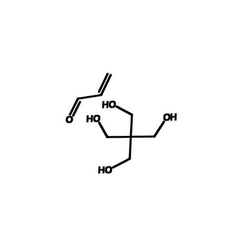 C=CC=O.OCC(CO)(CO)CO